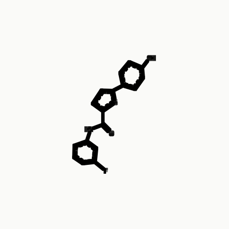 O=C(Nc1cccc(F)c1)c1ccc(-c2ccc(O)cc2)s1